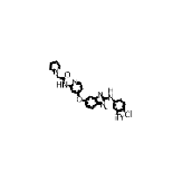 CC(C)c1cc(Nc2nc3cc(Oc4ccnc(NC(=O)CN5CCCC5)c4)ccc3n2C)ccc1Cl